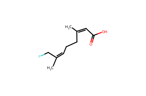 CC(=CCC/C(C)=C\C(=O)O)CF